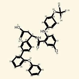 O=C(O)CC(NC(=O)c1cc(Cl)ccc1Nc1ccc(OC(F)(F)F)cc1)c1ccc(-c2ccccc2Oc2ccccc2)cc1